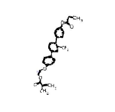 C=CC(=O)Oc1ccc(-c2ccc(-c3ccc(O/C=C\OC(=O)C(=C)C)cc3)cc2C(F)(F)F)cc1